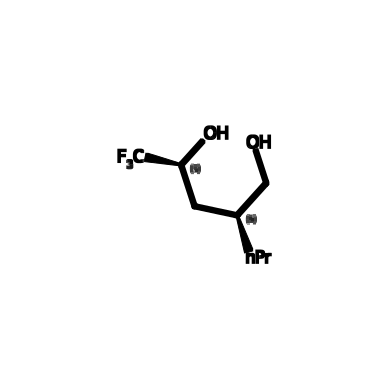 CCC[C@H](CO)C[C@H](O)C(F)(F)F